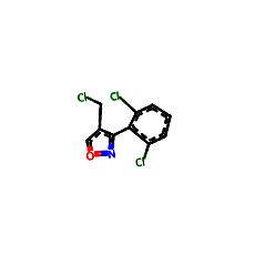 ClCc1conc1-c1c(Cl)cccc1Cl